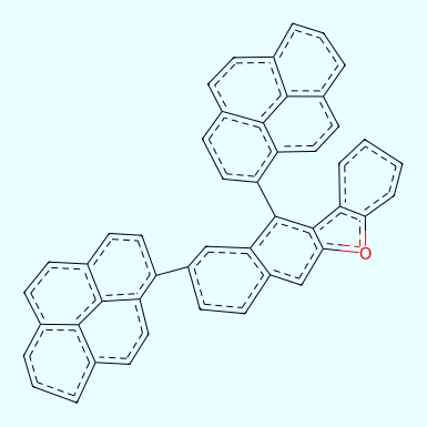 c1cc2ccc3ccc(-c4ccc5cc6oc7ccccc7c6c(-c6ccc7ccc8cccc9ccc6c7c89)c5c4)c4ccc(c1)c2c34